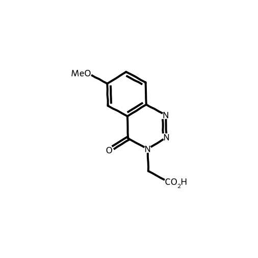 COc1ccc2nnn(CC(=O)O)c(=O)c2c1